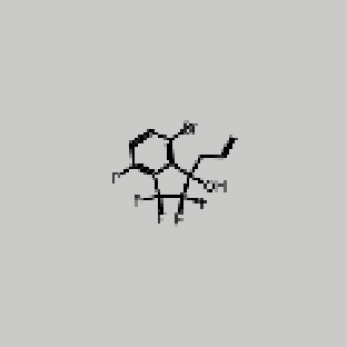 C=CCC1(O)c2c(Br)ccc(F)c2C(F)(F)C1(F)F